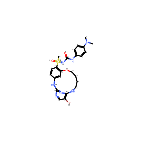 CN(C)c1ccc(NC(=O)N=S(C)(=O)c2ccc3cc2OCCCCNc2nc(ncc2Br)N3)cc1